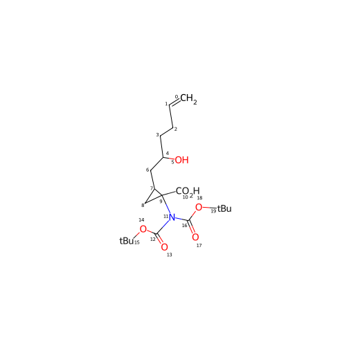 C=CCCC(O)CC1CC1(C(=O)O)N(C(=O)OC(C)(C)C)C(=O)OC(C)(C)C